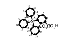 O=C(O)c1cccc([Si](c2ccccc2)(c2ccccc2)c2ccccc2)c1C(=O)O